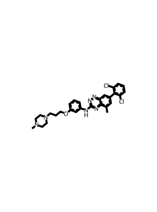 Cc1cc(-c2c(Cl)cccc2Cl)cc2nnc(Nc3cccc(OCCCN4CCN(C)CC4)c3)nc12